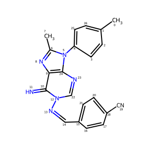 Cc1ccc(-n2c(C)nc3c(=N)n(/N=C\c4ccc(C#N)cc4)cnc32)cc1